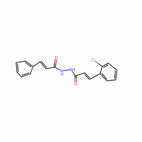 O=C(C=Cc1ccccc1)NNC(=O)/C=C/c1ccccc1Cl